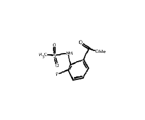 COC(=O)c1cccc(F)c1NS(C)(=O)=O